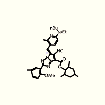 [C-]#[N+]c1c(C(=O)OC2C(C)CC(C)CC2C)c2nc(-c3cc(C)ccc3OC)nn2/c1=C/c1ccc(N(CC)CCCC)nc1C